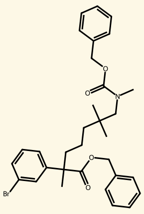 CN(CC(C)(C)CCCC(C)(C(=O)OCc1ccccc1)c1cccc(Br)c1)C(=O)OCc1ccccc1